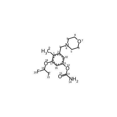 Cc1c(CN2CCOCC2)cc(OC(N)=O)cc1OC(F)F